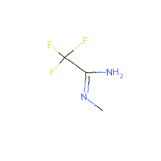 CN=C(N)C(F)(F)F